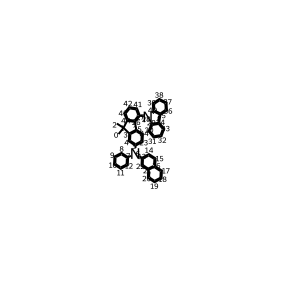 CC1(C)c2cc(N(c3ccccc3)c3ccc4ccccc4c3)ccc2-c2c(-n3c4ccccc4c4ccccc43)cccc21